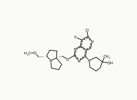 COC[C@@H]1CC[C@@]2(COc3nc(N4CCCC(C)(O)C4)c4cnc(Cl)c(F)c4n3)CCCN12